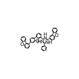 c1ccc(C2NC(c3ccc4oc5ccccc5c4c3)NC(c3cccc4c3oc3cc(-c5cccc6oc7ccccc7c56)ccc34)N2)cc1